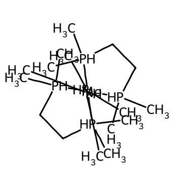 C[PH]1(C)CC[PH](C)(C)[Mo]123([PH](C)(C)CC[PH]2(C)C)[PH](C)(C)CC[PH]3(C)C